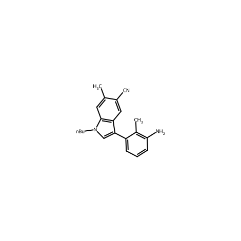 CCCCn1cc(-c2cccc(N)c2C)c2cc(C#N)c(C)cc21